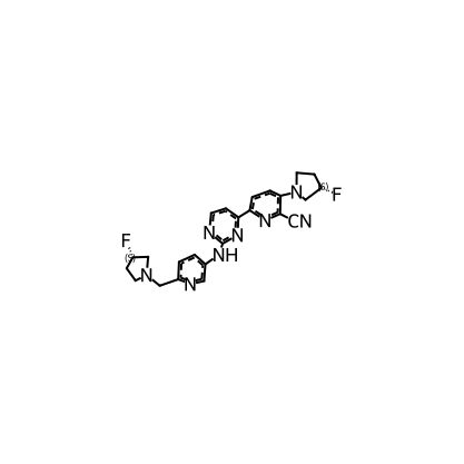 N#Cc1nc(-c2ccnc(Nc3ccc(CN4CC[C@H](F)C4)nc3)n2)ccc1N1CC[C@H](F)C1